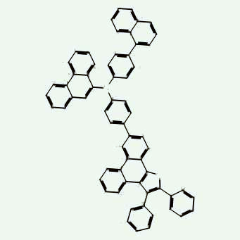 c1ccc(-c2oc3c4ccc(-c5ccc(N(c6ccc(-c7cccc8ccccc78)cc6)c6cc7ccccc7c7ccccc67)cc5)cc4c4ccccc4c3c2-c2ccccc2)cc1